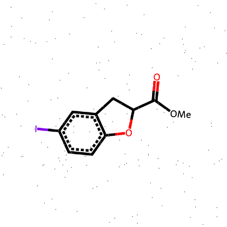 COC(=O)C1Cc2cc(I)ccc2O1